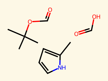 CC(C)(C)OC=O.Cc1ccc[nH]1.O=CO